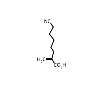 C=C(CCCCCC#N)C(=O)O